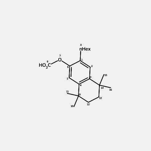 CCCCCCc1cc2c(cc1OC(=O)O)C(C)(C)CCC2(C)C